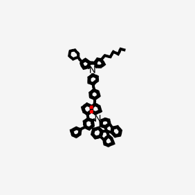 CCCCCCc1ccc2c(c1)c1cc(C3CCCCC3)ccc1n2-c1ccc(-c2ccc(-c3ccc(N(c4ccc5c(c4)C4(c6ccccc6-c6ccccc64)c4ccccc4-5)c4ccc(-c5ccccc5)cc4-c4ccccc4)cc3)cc2)cc1